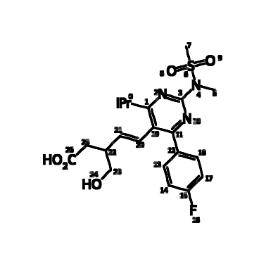 CC(C)c1nc(N(C)S(C)(=O)=O)nc(-c2ccc(F)cc2)c1/C=C/C(CO)CC(=O)O